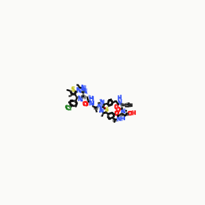 Cc1ncsc1-c1ccc([C@H](C)NC(=O)[C@@H]2C[C@@H](O)CN2C(=O)[C@@H](NC(=O)Cc2ccc(-c3cn([C@@H](C)CNC(=O)C[C@@H]4N=C(c5ccc(Cl)cc5)c5c(sc(C)c5C)-n5c(C)nnc54)cn3)cc2)C(C)(C)C)cc1